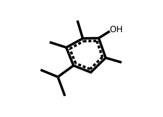 Cc1cc(C(C)C)c(C)c(C)c1O